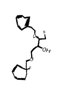 OC(COCC1(F)C=CC=CC1)C(CF)OCc1ccccc1